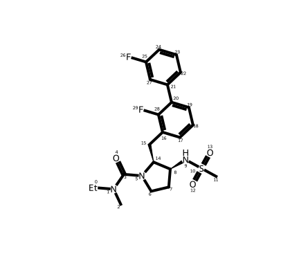 CCN(C)C(=O)N1CC[C@H](NS(C)(=O)=O)[C@@H]1Cc1cccc(-c2cccc(F)c2)c1F